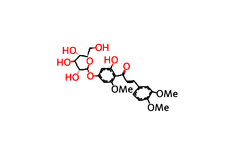 COc1ccc(/C=C/C(=O)c2c(O)cc(O[C@@H]3O[C@H](CO)[C@@H](O)[C@H](O)[C@H]3O)cc2OC)cc1OC